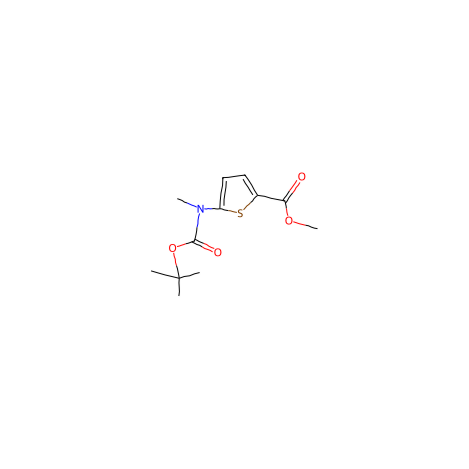 COC(=O)c1ccc(N(C)C(=O)OC(C)(C)C)s1